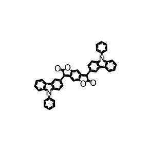 O=C1Oc2cc3c(cc2=C1c1ccc2c(c1)c1ccccc1n2-c1ccccc1)OC(=O)C=3c1ccc2c(c1)c1ccccc1n2-c1ccccc1